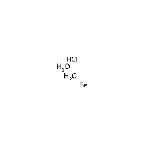 Cl.O.O.[Fe]